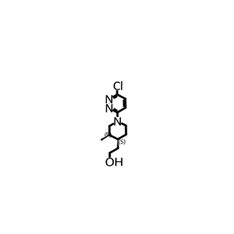 C[C@H]1CN(c2ccc(Cl)nn2)CC[C@H]1CCO